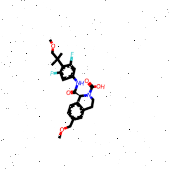 COCc1ccc2c(c1)CCN(C(=O)O)[C@@H]2C(=O)Nc1cc(F)c(C(C)(C)COC)c(F)c1